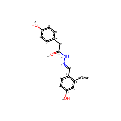 COc1cc(O)ccc1/C=N/NC(=O)Cc1ccc(O)cc1